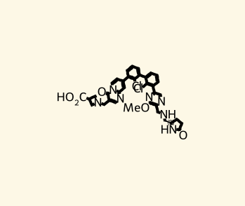 COc1nc(-c2cccc(-c3cccc(-c4ccn5c(=O)c(CN6CC(C(=O)O)C6)cnc5c4)c3Cl)c2Cl)cnc1CNC[C@H]1CCC(=O)N1